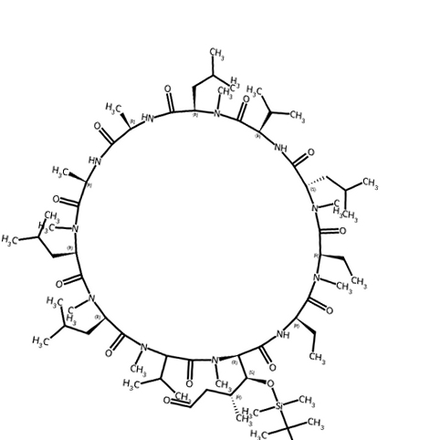 CC[C@@H]1C(=O)N(C)[C@@H](CC(C)C)C(=O)N[C@H](C(C)C)C(=O)N(C)[C@H](CC(C)C)C(=O)N[C@H](C)C(=O)N[C@H](C)C(=O)N(C)[C@H](CC(C)C)C(=O)N(C)[C@H](CC(C)C)C(=O)N(C)C(C(C)C)C(=O)N(C)[C@H]([C@@H](O[Si](C)(C)C(C)(C)C)[C@H](C)CC=O)C(=O)N[C@H](CC)C(=O)N1C